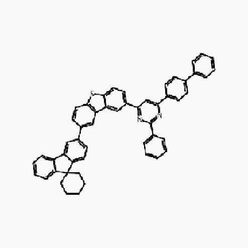 c1ccc(-c2ccc(-c3cc(-c4ccc5sc6ccc(-c7ccc8c(c7)-c7ccccc7C87CCCCC7)cc6c5c4)nc(-c4ccccc4)n3)cc2)cc1